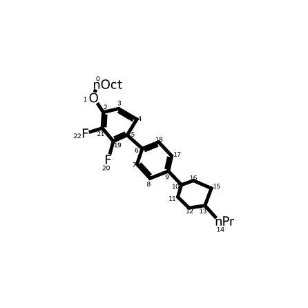 CCCCCCCCOc1ccc(-c2ccc(C3CCC(CCC)CC3)cc2)c(F)c1F